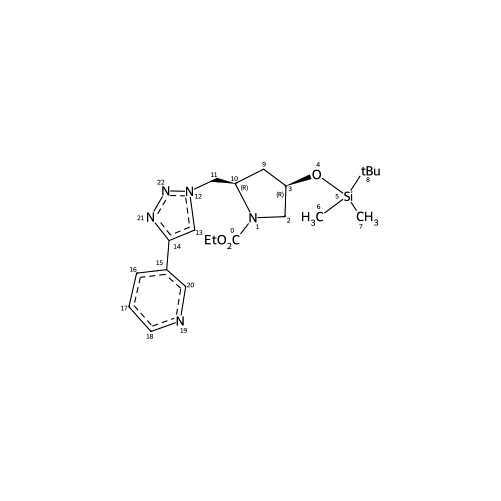 CCOC(=O)N1C[C@H](O[Si](C)(C)C(C)(C)C)C[C@@H]1Cn1cc(-c2cccnc2)nn1